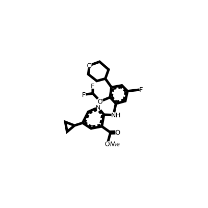 COC(=O)c1cc(C2CC2)cnc1Nc1cc(F)cc(C2CCOCC2)c1OC(F)F